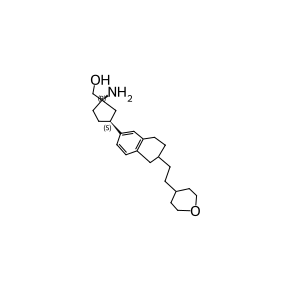 N[C@]1(CO)CC[C@H](c2ccc3c(c2)CCC(CCC2CCOCC2)C3)C1